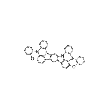 c1ccc2c(c1)Oc1ccc3c4cc5c6ccc7c8c6n(c5cc4n4c3c1B2c1ccccc1-4)-c1ccccc1B8c1ccccc1O7